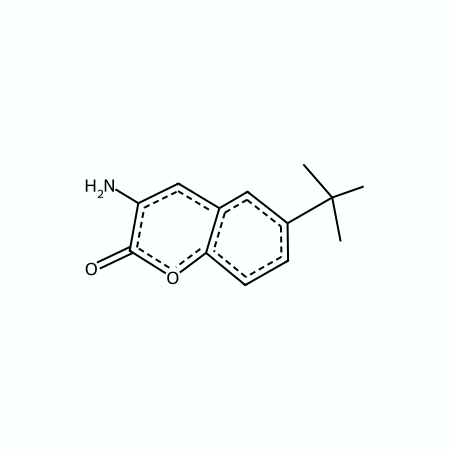 CC(C)(C)c1ccc2oc(=O)c(N)cc2c1